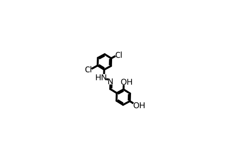 Oc1ccc(C=NNc2cc(Cl)ccc2Cl)c(O)c1